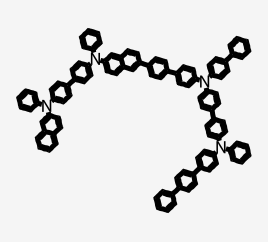 c1ccc(-c2ccc(-c3ccc(N(c4ccccc4)c4ccc(-c5ccc(N(c6ccc(-c7ccccc7)cc6)c6ccc(-c7ccc(-c8ccc9cc(N(c%10ccccc%10)c%10ccc(-c%11ccc(N(c%12ccccc%12)c%12ccc%13ccccc%13c%12)cc%11)cc%10)ccc9c8)cc7)cc6)cc5)cc4)cc3)cc2)cc1